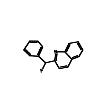 FC(c1ccccc1)c1ccc2ccccc2n1